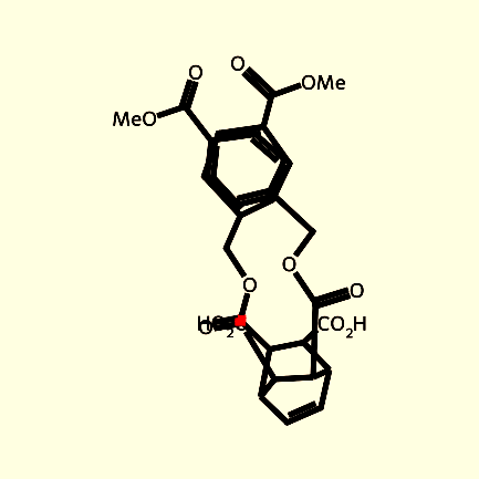 COC(=O)c1ccc(COC(=O)C2C3C=CC(C2C(=O)O)C(C(=O)OCc2ccc(C(=O)OC)cc2)C3C(=O)O)cc1